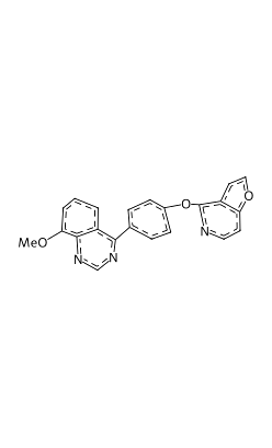 COc1cccc2c(-c3ccc(Oc4nccc5occc45)cc3)ncnc12